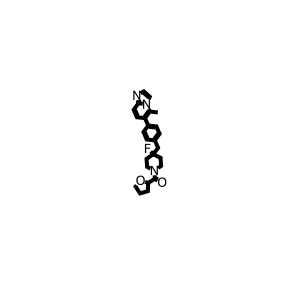 Cc1c(-c2ccc(CC3(F)CCN(C(=O)C4CCCO4)CC3)cc2)ccc2nccn12